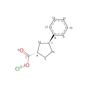 O=C(OCl)[C@H]1CC[C@H](c2ccccc2)C1